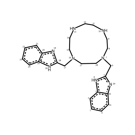 c1ccc2[nH]c(CN3CCNCCNCCN(Cc4nc5ccccc5[nH]4)CC3)nc2c1